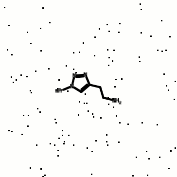 CCCn1cc(CCN)nn1